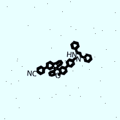 N#Cc1ccc(-c2ccc3c(c2)C2(C4=CC=CCC4Oc4ccc(-c5ccc(C6N=C(C7=CC=CCC7)C=C(c7ccccc7)N6)cc5)cc42)c2ccccc2-3)cc1